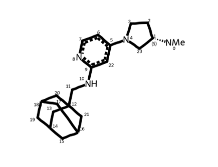 CN[C@H]1CCN(c2ccnc(NCC34CC5CC(CC(C5)C3)C4)c2)C1